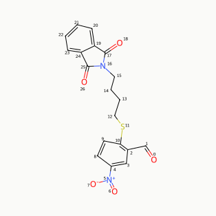 O=Cc1cc([N+](=O)[O-])ccc1SCCCCN1C(=O)c2ccccc2C1=O